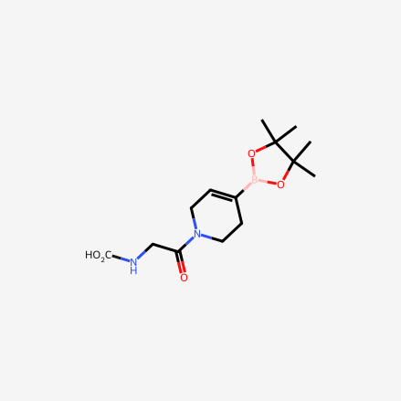 CC1(C)OB(C2=CCN(C(=O)CNC(=O)O)CC2)OC1(C)C